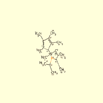 CC1=C(C)C([Si](C)(C)P(C(C)C)C(C)C)C(C)=C1C